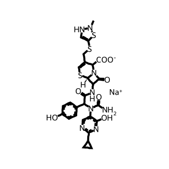 CN1NC=C(SCC2=CS[C@@H]3C(NC(=O)C(c4ccc(O)cc4)N(C(N)=O)c4cnc(C5CC5)nc4O)C(=O)N3C2C(=O)[O-])S1.[Na+]